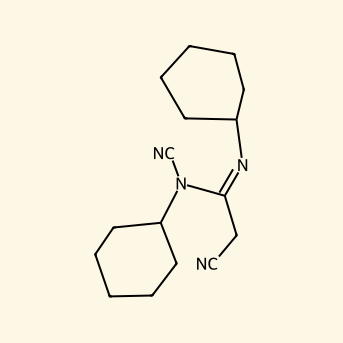 N#CCC(=NC1CCCCC1)N(C#N)C1CCCCC1